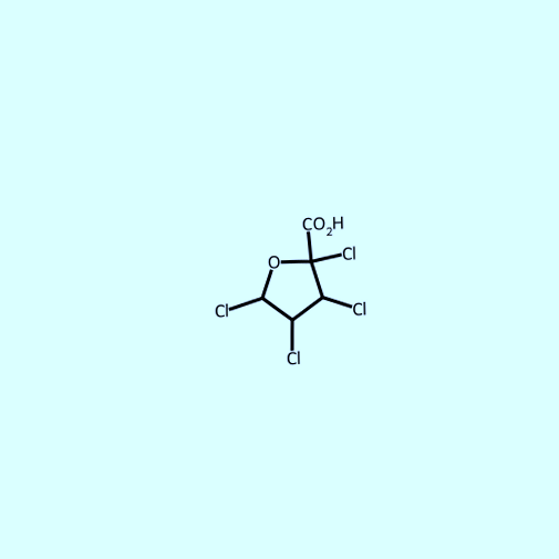 O=C(O)C1(Cl)OC(Cl)C(Cl)C1Cl